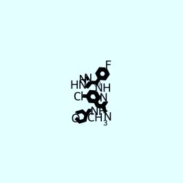 CC1(CNc2c(C#N)cnc3c(N[C@@H](c4ccc(F)cc4)c4c[nH]nn4)cc(Cl)cc23)CCOCC1